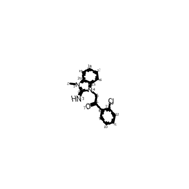 Cn1c(=N)n(CC(=O)c2ccccc2Cl)c2ccccc21